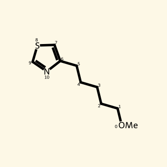 [CH2]OCCCCCc1cscn1